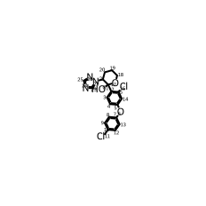 OC1(c2ccc(Oc3ccc(Cl)cc3)cc2Cl)OCCCC1n1cncn1